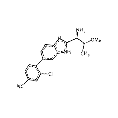 CO[C@H](C)[C@H](N)c1nc2ccc(-c3ccc(C#N)cc3Cl)cc2[nH]1